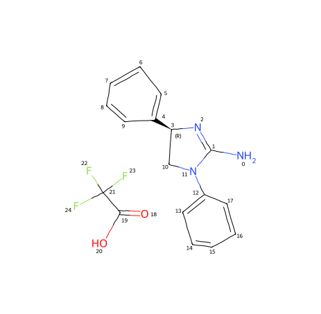 NC1=N[C@H](c2ccccc2)CN1c1ccccc1.O=C(O)C(F)(F)F